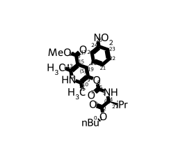 CCCCOC(=O)[C@@H](NC(=O)OC1=C(C)NC(C)=C(C(=O)OC)[C@@H]1c1cccc([N+](=O)[O-])c1)C(C)C